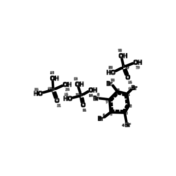 Brc1cc(Br)c(Br)c(Br)c1Br.O=P(O)(O)O.O=P(O)(O)O.O=P(O)(O)O